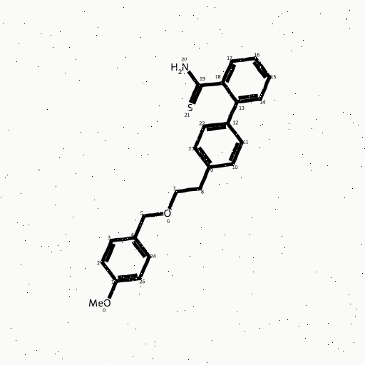 COc1ccc(COCCc2ccc(-c3ccccc3C(N)=S)cc2)cc1